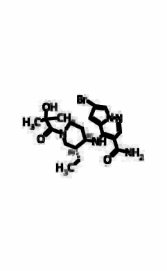 CC[C@@H]1CN(C(=O)C(C)(C)O)CC[C@H]1Nc1c(C(N)=O)cnn2cc(Br)cc12